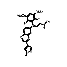 COc1cc(OC)c(F)c(N(CCNC(C)C)c2ccc3ncc(-c4cnn(C)c4)nc3n2)c1F